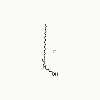 CCCCCCCCCCCCCCCCOCC[N+](C)(C)CCCCO.[I-]